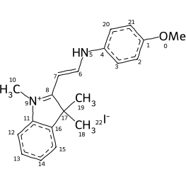 COc1ccc(NC=CC2=[N+](C)c3ccccc3C2(C)C)cc1.[I-]